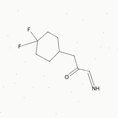 N=CC(=O)CC1CCC(F)(F)CC1